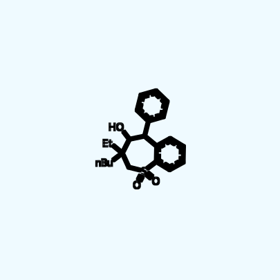 CCCCC1(CC)CS(=O)(=O)c2ccccc2C(c2ccccc2)C1O